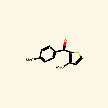 COc1ccc(C(=O)c2sccc2OC)cc1